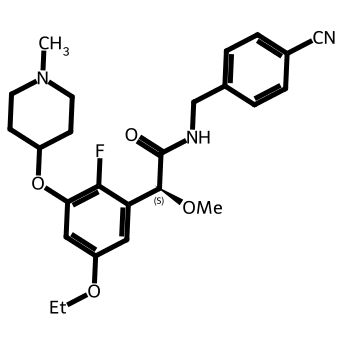 CCOc1cc(OC2CCN(C)CC2)c(F)c([C@H](OC)C(=O)NCc2ccc(C#N)cc2)c1